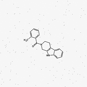 Cc1ccccc1C(=O)N1CCc2c([nH]c3ccccc23)C1